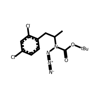 CC(Cc1ccc(Cl)cc1Cl)N(N=[N+]=[N-])C(=O)OC(C)(C)C